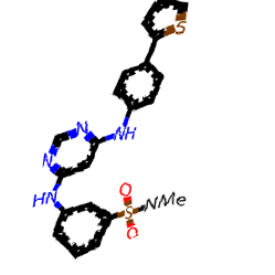 CNS(=O)(=O)c1cccc(Nc2cc(Nc3ccc(-c4cccs4)cc3)ncn2)c1